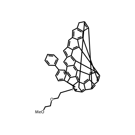 COCCOCCN1CC2C3=c4c5c6c7c(cc8cc9cc%10cc%11cc%12c%13c(c4c4c5c5c7c8c7c9c%10c8c%11c%13c4c8c75)=C(C3)C%12)CC62C1c1ccc(-c2ccccc2)cc1